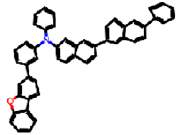 c1ccc(-c2ccc3cc(-c4ccc5ccc(N(c6ccccc6)c6cccc(-c7ccc8c(c7)oc7ccccc78)c6)cc5c4)ccc3c2)cc1